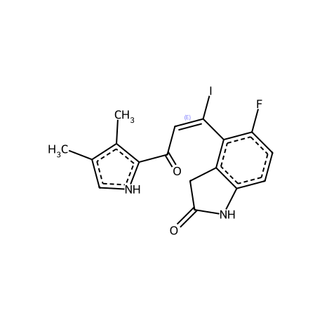 Cc1c[nH]c(C(=O)/C=C(/I)c2c(F)ccc3c2CC(=O)N3)c1C